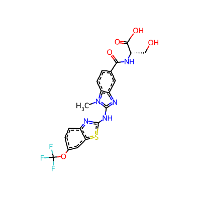 Cn1c(Nc2nc3ccc(OC(F)(F)F)cc3s2)nc2cc(C(=O)N[C@@H](CO)C(=O)O)ccc21